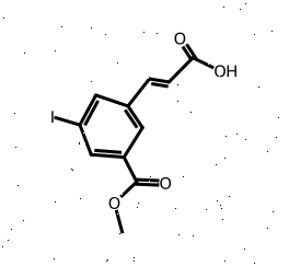 COC(=O)c1cc(I)cc(C=CC(=O)O)c1